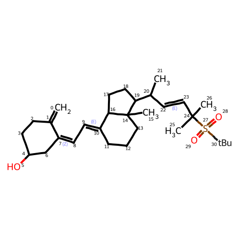 C=C1CCC(O)C/C1=C/C=C1\CCCC2(C)C1CCC2C(C)/C=C/C(C)(C)S(=O)(=O)C(C)(C)C